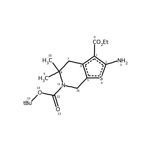 CCOC(=O)c1c(N)sc2c1CC(C)(C)N(C(=O)OC(C)(C)C)C2